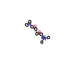 c1ccc(-c2nc(-c3ccccc3)nc(-c3ccc4oc5c(-c6ccc7oc8cc(-n9c%10ccccc%10c%10ccccc%109)ccc8c7c6)cccc5c4c3)n2)cc1